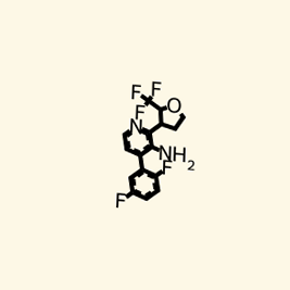 Nc1c(-c2cc(F)ccc2F)ccnc1C1CCOC1C(F)(F)F